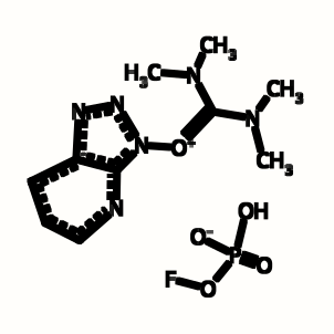 CN(C)C(=[O+]n1nnc2cccnc21)N(C)C.O=P([O-])(O)OF